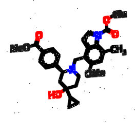 COC(=O)c1ccc([C@@H]2CC(O)(C3CC3)CCN2Cc2c(OC)cc(C)c3c2ccn3C(=O)OC(C)(C)C)cc1